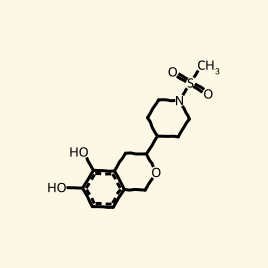 CS(=O)(=O)N1CCC(C2Cc3c(ccc(O)c3O)CO2)CC1